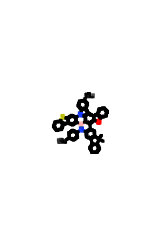 CC(C)(C)c1ccc(N2B3c4cc5c(cc4-n4c6ccc(C(C)(C)C)cc6c6c7c(oc8ccccc87)c(c3c64)-c3cc4c(cc32)-c2ccccc2C4(C)C)sc2ccccc25)cc1